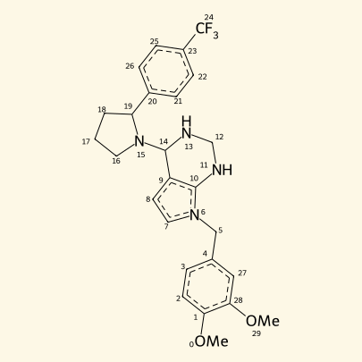 COc1ccc(Cn2ccc3c2NCNC3N2CCCC2c2ccc(C(F)(F)F)cc2)cc1OC